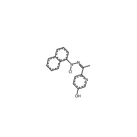 CC(=NN(Cl)c1cccc2ccccc12)c1ccc(O)cn1